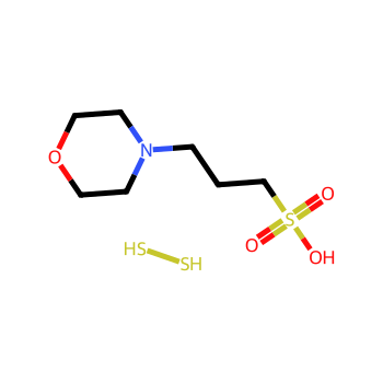 O=S(=O)(O)CCCN1CCOCC1.SS